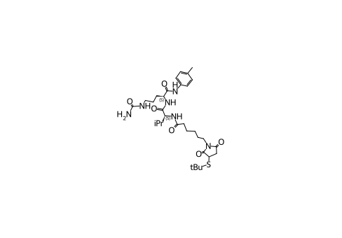 Cc1ccc(NC(=O)[C@H](CCCNC(N)=O)NC(=O)[C@@H](NC(=O)CCCCCN2C(=O)CC(SC(C)(C)C)C2=O)C(C)C)cc1